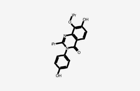 CC(C)Oc1c(O)ccc2c(=O)n(-c3ccc(O)cc3)c(C(C)C)nc12